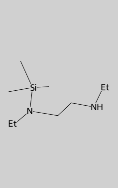 CCNCCN(CC)[Si](C)(C)C